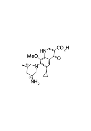 COc1c(N2C[C@H](C)C[C@H](N)C2)c(C2CC2)cc2c(=O)c(C(=O)O)c[nH]c12